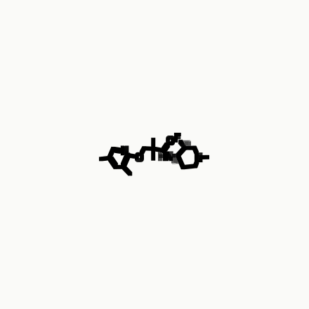 Cc1cnc(OCC(C)(C)C(=O)N[C@H]2CCN(C)C[C@@H]2F)c(C)c1